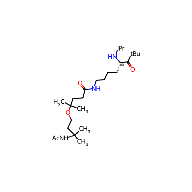 CC(=O)NC(C)(C)CCOC(C)(C)CCC(=O)NCCCC[C@H](NC(C)C)C(=O)C(C)(C)C